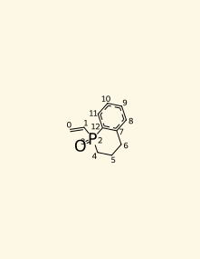 C=CP1(=O)CCCc2ccccc21